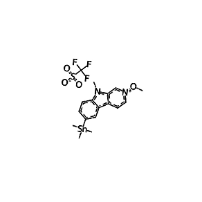 CO[n+]1ccc2c3c[c]([Sn]([CH3])([CH3])[CH3])ccc3n(C)c2c1.O=S(=O)([O-])C(F)(F)F